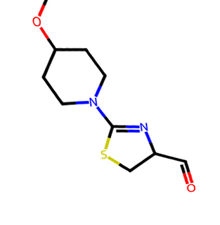 COC1CCN(C2=NC(C=O)CS2)CC1